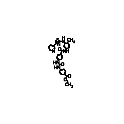 CCOC(=O)c1ccc(NC(=O)Nc2ccc(C(=O)Nc3ccc(C)c(Nc4nc(-c5cccnc5)cs4)c3)cc2)cc1